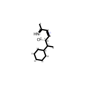 CC(=N)/C=C\[C@@H](Cl)C(C)C1CCCCC1